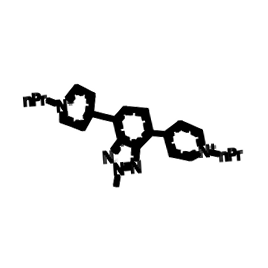 CCC[n+]1ccc(-c2ccc(-c3cc[n+](CCC)cc3)c3nn(C)nc23)cc1